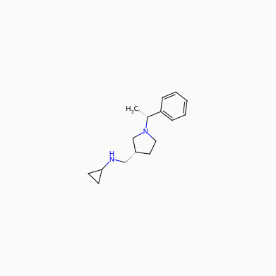 C[C@H](c1ccccc1)N1CC[C@H](CNC2CC2)C1